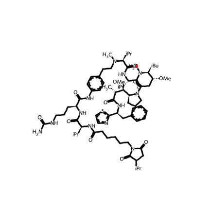 CC[C@H](C)[C@@H]([C@@H](CC(=O)N1CCC[C@H]1[C@H](OC)[C@@H](C)C(=O)N[C@@H](Cc1ccccc1)c1nccs1)OC)N(C)C(=O)[C@@H](NC(=O)[C@H](C(C)C)N(C)CCc1ccc(NC(=O)[C@H](CCCNC(N)=O)NC(=O)[C@@H](NC(=O)CCCCCN2C(=O)CC(C(C)C)C2=O)C(C)C)cc1)C(C)C